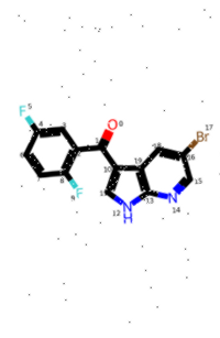 O=C(c1cc(F)ccc1F)c1c[nH]c2ncc(Br)cc12